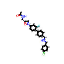 CC(=O)NC[C@H]1CN(c2ccc(-c3ccc(CNCc4ccc(Cl)cc4)cc3)c(F)c2)O1